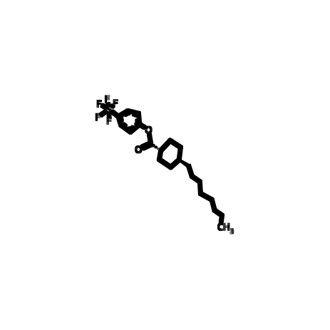 CCCCCCCC[C@H]1CC[C@H](C(=O)Oc2ccc(S(F)(F)(F)(F)F)cc2)CC1